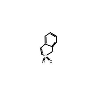 O=S1(=O)[CH]c2ccccc2[C]=C1